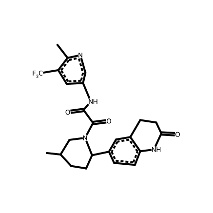 Cc1ncc(NC(=O)C(=O)N2CC(C)CCC2c2ccc3c(c2)CCC(=O)N3)cc1C(F)(F)F